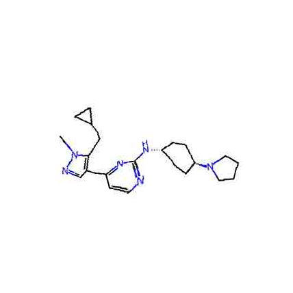 Cn1ncc(-c2ccnc(N[C@H]3CC[C@H](N4CCCC4)CC3)n2)c1CC1CC1